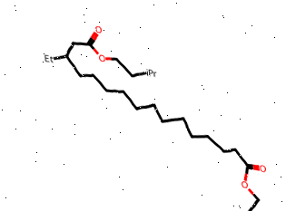 CCC(CCCCCCCCCCCCC(=O)OCCC(C)C)CC(=O)OCCC(C)C